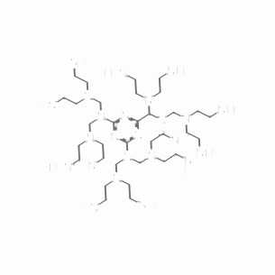 NCCN(CCN)CNC(c1nc(N(CN(CCN)CCN)CN(CCN)CCN)nc(N(CN(CCN)CCN)CN(CCN)CCN)n1)N(CCN)CCN